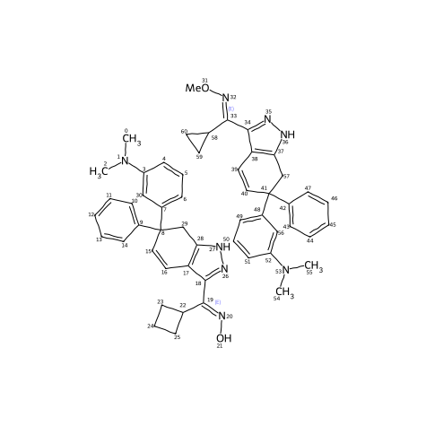 CN(C)c1cccc(C2(c3ccccc3)C=Cc3c(/C(=N/O)C4CCC4)n[nH]c3C2)c1.CO/N=C(/c1n[nH]c2c1C=CC(c1ccccc1)(c1cccc(N(C)C)c1)C2)C1CC1